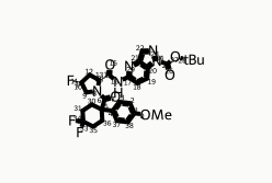 COc1ccc(C2(C(=O)N3C[C@H](F)C[C@@H]3C(=O)Nc3ccc4c(cnn4C(=O)OC(C)(C)C)n3)CCC(F)(F)CC2)cc1